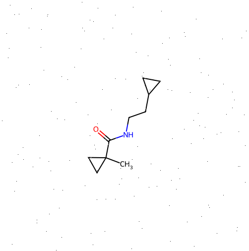 CC1(C(=O)NCCC2CC2)CC1